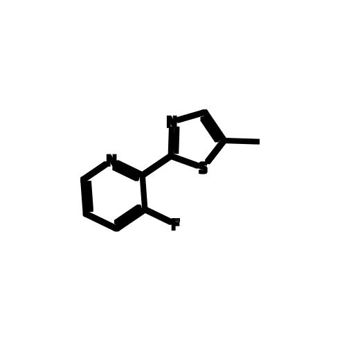 Cc1cnc(-c2ncccc2F)s1